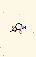 Cc1cc2c(s1)CCCNC2=O